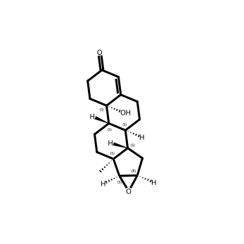 C[C@]12CC[C@H]3[C@@H](CCC4=CC(=O)CC[C@@]43O)[C@@H]1C[C@H]1O[C@H]12